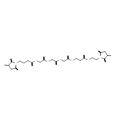 CC1CC(=O)N(CCCC(=O)NCC(=O)NCC(=O)NCC(=O)NCCC(=O)NCCN2C(=O)CC([SiH3])C2=O)C1=O